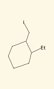 CCC1CCCCC1CI